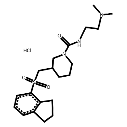 CN(C)CCNC(=O)N1CCCC(CS(=O)(=O)c2cccc3c2CCC3)C1.Cl